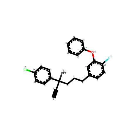 C#CC(CCC)(CCCc1ccc(F)c(Oc2ccccc2)c1)c1ccc(Cl)cc1